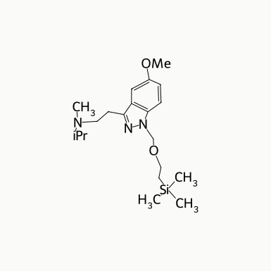 COc1ccc2c(c1)c(CCN(C)C(C)C)nn2COCC[Si](C)(C)C